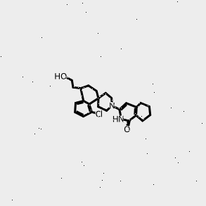 O=c1[nH]c(N2CCC3(CCC(CCO)c4cccc(Cl)c43)CC2)cc2c1CCCC2